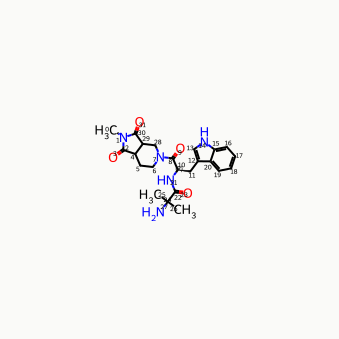 CN1C(=O)C2CCN(C(=O)[C@@H](Cc3c[nH]c4ccccc34)NC(=O)C(C)(C)N)CC2C1=O